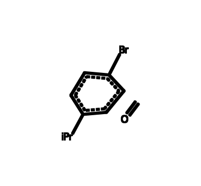 C=O.CC(C)c1ccc(Br)cc1